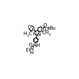 CCNC(=O)Nc1ccc(-c2nc3c(c(N4CCOCC4C)n2)CCN(C(=O)OC(C)(C)C)C3C)cc1